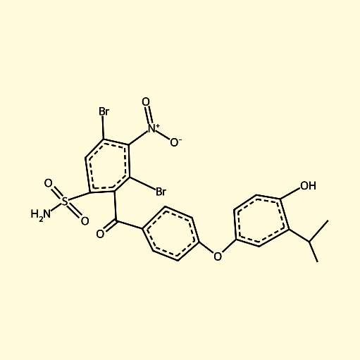 CC(C)c1cc(Oc2ccc(C(=O)c3c(S(N)(=O)=O)cc(Br)c([N+](=O)[O-])c3Br)cc2)ccc1O